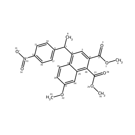 COC(=O)c1cc(C(C)c2ccc([N+](=O)[O-])cc2)c2ccc(OC)cc2c1C(=O)OC